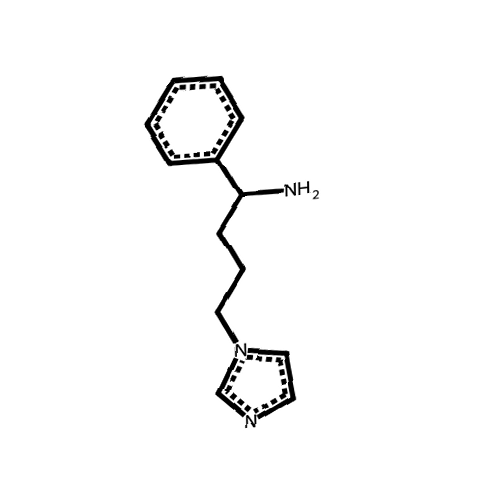 NC(CCCn1ccnc1)c1ccccc1